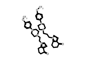 O=C1CCCc2c1ccn2CCCN1CCN(c2ccc(OC(F)(F)F)cc2)CC1.O=C1CCCc2c1ccn2CCN1CCN(c2ccc(OC(F)(F)F)cc2)CC1